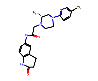 C[C@@H]1CN(c2ccc(C(F)(F)F)cn2)CCN1CC(=O)Nc1ccc2c(c1)CCC(=O)N2